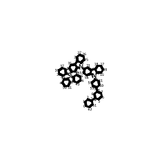 c1ccc(-c2cccc(-c3ccc(-n4c5ccccc5c5cc(-n6c7ccccc7c7ccc([Si](c8ccccc8)(c8ccccc8)c8ccccc8)cc76)ccc54)cc3)c2)cc1